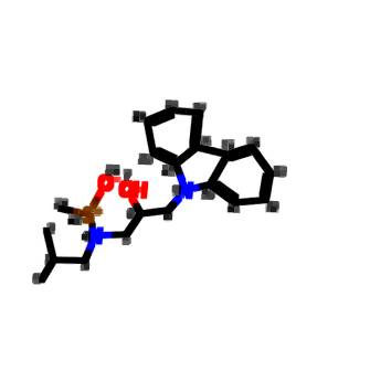 CC(C)CN(CC(O)Cn1c2ccccc2c2ccccc21)[S+](C)[O-]